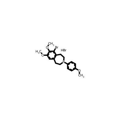 Br.COc1ccc(N2CCc3cc(OC)c(OC)c(Br)c3CC2)cc1